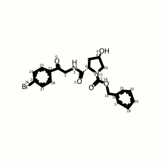 O=C(CNC(=O)[C@@H]1C[C@@H](O)CN1C(=O)OCc1ccccc1)c1ccc(Br)cc1